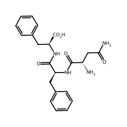 NC(=O)C[C@H](N)C(=O)N[C@@H](Cc1ccccc1)C(=O)N[C@@H](Cc1ccccc1)C(=O)O